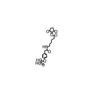 O=C(Cc1ccc(OP(=O)(O)O)cc1)NCCCCCC(=O)ON1C(=O)CCC1=O